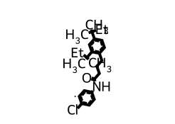 CCC(C)(C)c1ccc(CCCC(=O)Nc2c[c]c(Cl)cc2)c(C(C)(C)CC)c1